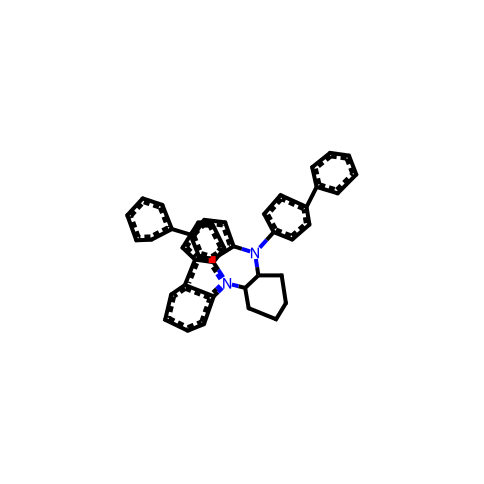 c1ccc(-c2ccc(N(c3ccc(-c4ccccc4)cc3)C3CCCCC3n3c4ccccc4c4ccccc43)cc2)cc1